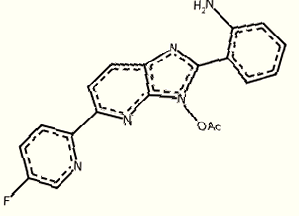 CC(=O)On1c(-c2ccccc2N)nc2ccc(-c3ccc(F)cn3)nc21